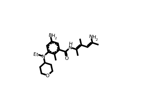 Bc1cc(C(=O)N/C(C)=C(C)/C=C(/C)N)c(C)c(N(CC)C2CCOCC2)c1